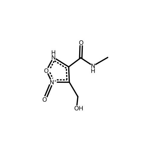 CNC(=O)c1[nH]o[n+](=O)c1CO